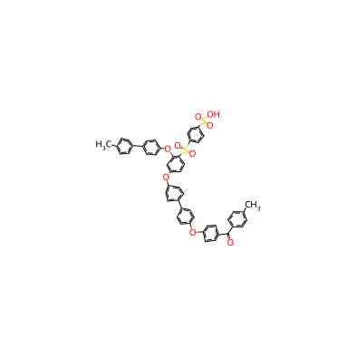 Cc1ccc(C(=O)c2ccc(Oc3ccc(-c4ccc(Oc5ccc(S(=O)(=O)c6ccc(S(=O)(=O)O)cc6)c(Oc6ccc(-c7ccc(C)cc7)cc6)c5)cc4)cc3)cc2)cc1